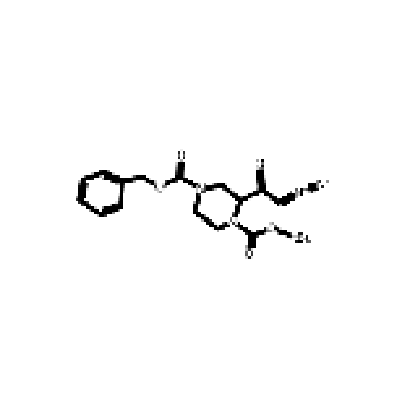 CC(C)(C)OC(=O)N1CCN(C(=O)OCc2ccccc2)CC1C(=O)C=[N+]=[N-]